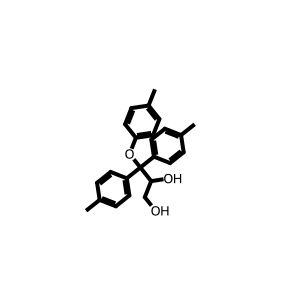 Cc1ccc(OC(c2ccc(C)cc2)(c2ccc(C)cc2)C(O)CO)cc1